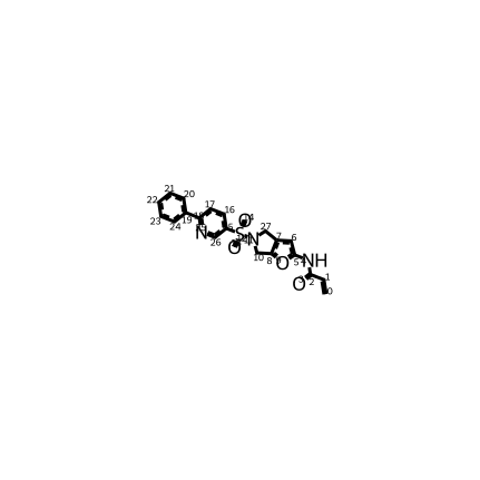 C=CC(=O)Nc1cc2c(o1)CN(S(=O)(=O)c1ccc(-c3ccccc3)nc1)C2